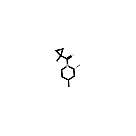 CC1CCN(C(=O)C2(C)CC2)[C@H](C)C1